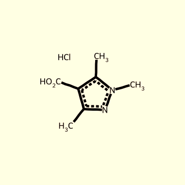 Cc1nn(C)c(C)c1C(=O)O.Cl